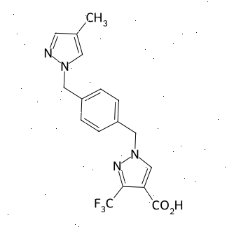 Cc1cnn(Cc2ccc(Cn3cc(C(=O)O)c(C(F)(F)F)n3)cc2)c1